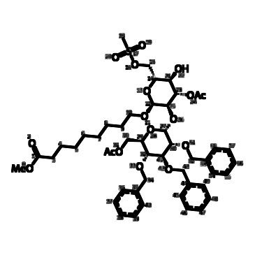 COC(=O)CCCCCCCCO[C@H]1O[C@H](COS(C)(=O)=O)[C@@H](O)[C@H](OC(C)=O)[C@H]1O[C@H]1O[C@H](COC(C)=O)[C@@H](OCc2ccccc2)[C@H](OCc2ccccc2)[C@H]1OCc1ccccc1